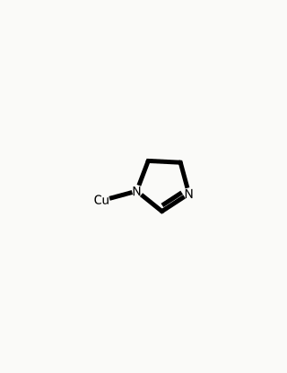 [Cu][N]1C=NCC1